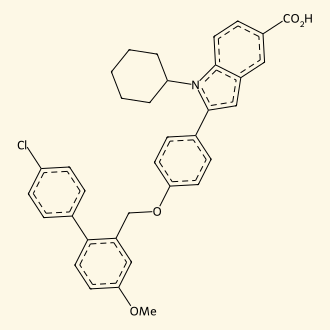 COc1ccc(-c2ccc(Cl)cc2)c(COc2ccc(-c3cc4cc(C(=O)O)ccc4n3C3CCCCC3)cc2)c1